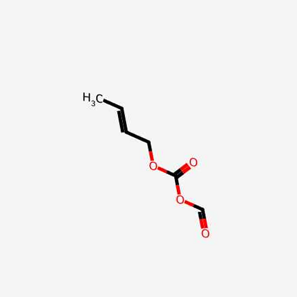 CC=CCOC(=O)OC=O